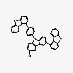 Brc1ccc2c(c1)c1cc(-c3cccc4oc5ccccc5c34)ccc1n2-c1ccc(-c2cccc3oc4ccccc4c23)cc1